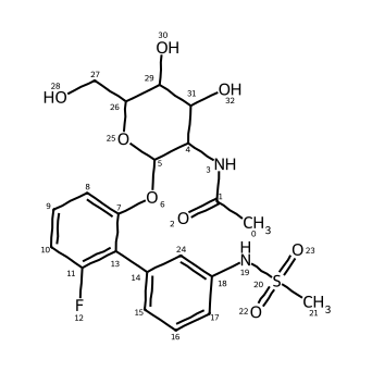 CC(=O)NC1C(Oc2cccc(F)c2-c2cccc(NS(C)(=O)=O)c2)OC(CO)C(O)C1O